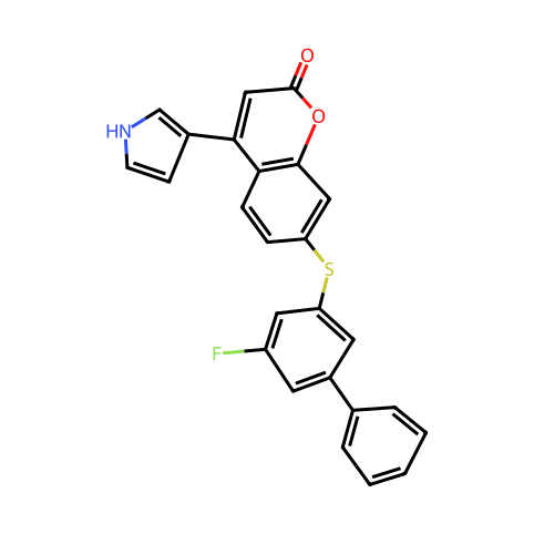 O=c1cc(-c2cc[nH]c2)c2ccc(Sc3cc(F)cc(-c4ccccc4)c3)cc2o1